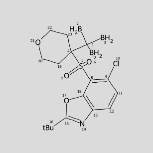 BC(B)(B)C1(S(=O)(=O)c2c(Cl)ccc3nc(C(C)(C)C)oc23)CCOCC1